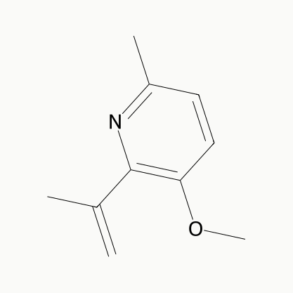 C=C(C)c1nc(C)ccc1OC